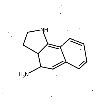 NC1C=c2ccccc2=C2NCCC21